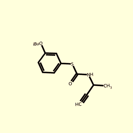 C#CC(C)NC(=O)Sc1cccc(OCC(C)C)c1